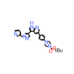 CC(C)(C)OC(=O)N1CCN(c2ccc(-c3cnc4[nH]cc(-c5cnn(Cc6cccnc6)c5)c4c3)cc2)CC1